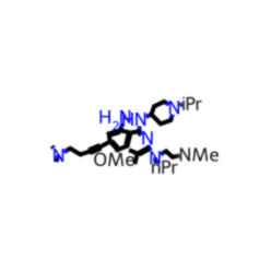 CCCN(CCNC)C(/N=C(/NC1CCN(C(C)C)CC1)c1cc(OC)c(C#CCCN(C)C)cc1N)=C(C)C